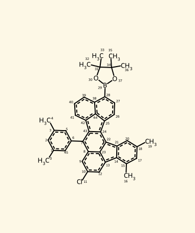 Cc1cc(C)cc(-c2c3cc(Cl)cc4c5c(C)cc(C)cc5c(c34)c3c4ccc(B5OC(C)(C)C(C)(C)O5)c5cccc(c23)c54)c1